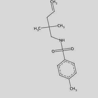 C=CCC(C)(C)CNS(=O)(=O)c1ccc(C)cc1